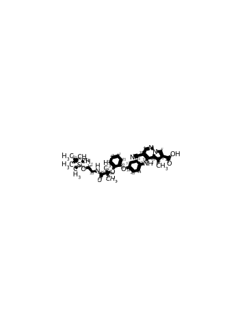 Cc1c(C(=O)O)cn2ncc(C#N)c(Nc3ccc(Oc4ccccc4OC(C)(C)C(=O)NCCO[Si](C)(C)C(C)(C)C)cc3)c12